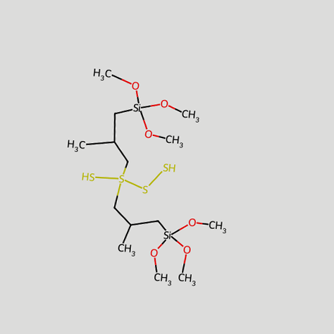 CO[Si](CC(C)CS(S)(CC(C)C[Si](OC)(OC)OC)SS)(OC)OC